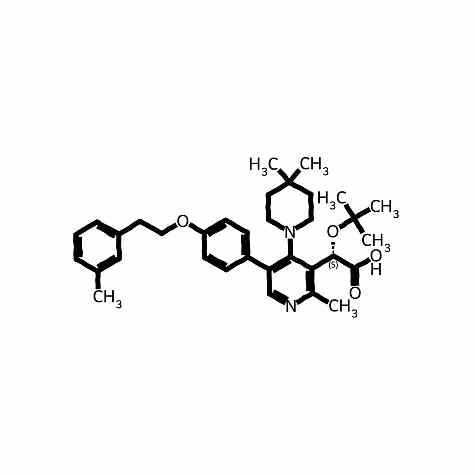 Cc1cccc(CCOc2ccc(-c3cnc(C)c([C@H](OC(C)(C)C)C(=O)O)c3N3CCC(C)(C)CC3)cc2)c1